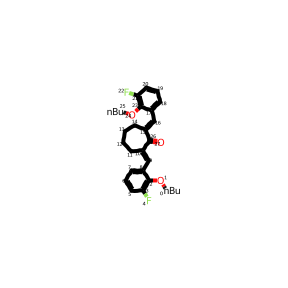 CCCCOc1c(F)cccc1/C=C1\CCCC/C(=C\c2cccc(F)c2OCCCC)C1=O